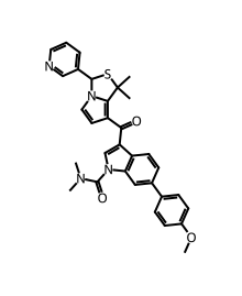 COc1ccc(-c2ccc3c(C(=O)c4ccn5c4C(C)(C)SC5c4cccnc4)cn(C(=O)N(C)C)c3c2)cc1